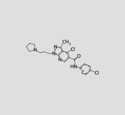 Cc1nn(CCCN2CCCC2)c2ncc(C(=O)Nc3ccc(Cl)cc3)c(Cl)c12